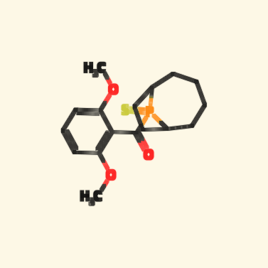 COc1cccc(OC)c1C(=O)P1(=S)C2CCCCC1CC2